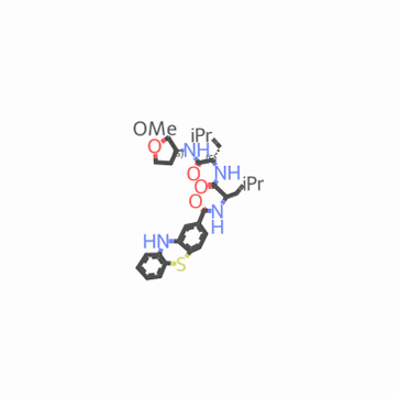 COC1OCC[C@@H]1NC(=O)[C@H](CC(C)C)NC(=O)C(CC(C)C)NC(=O)c1ccc2c(c1)Nc1ccccc1S2